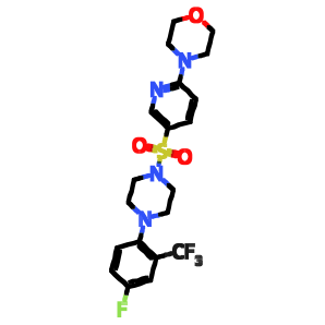 O=S(=O)(c1ccc(N2CCOCC2)nc1)N1CCN(c2ccc(F)cc2C(F)(F)F)CC1